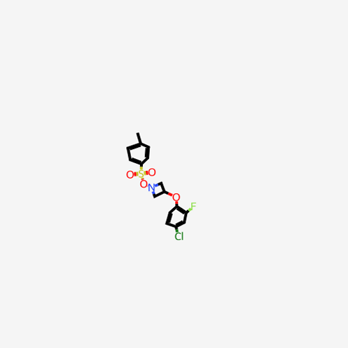 Cc1ccc(S(=O)(=O)ON2CC(Oc3ccc(Cl)cc3F)C2)cc1